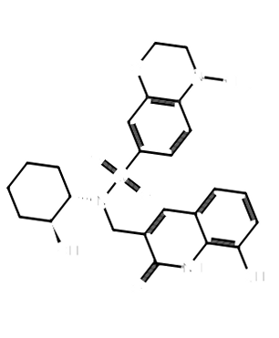 Cc1cccc2cc(CN([C@H]3CCCC[C@@H]3O)S(=O)(=O)c3ccc4c(c3)OCCN4C)c(=O)[nH]c12